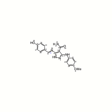 COc1ccc(Nc2n[nH]c(/N=C/c3ccc(O)cc3)c2C(N)=O)cc1